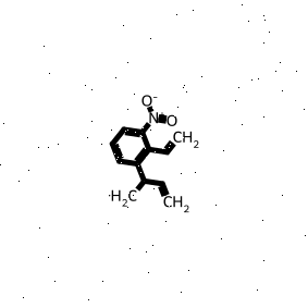 [CH2]C(C=C)c1cccc([N+](=O)[O-])c1C=C